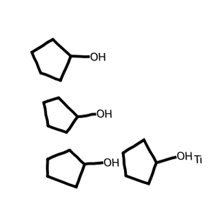 OC1CCCC1.OC1CCCC1.OC1CCCC1.OC1CCCC1.[Ti]